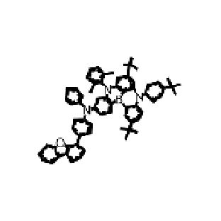 Cc1cccc(C)c1N1c2cc(N(c3ccccc3)c3ccc(-c4cccc5c4oc4ccccc45)cc3)ccc2B2c3cc(C(C)(C)C)ccc3N(c3ccc(C(C)(C)C)cc3)c3cc(C(C)(C)C)cc1c32